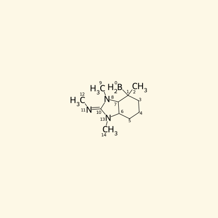 BC1(C)CCCC2C1N(C)/C(=N\C)N2C